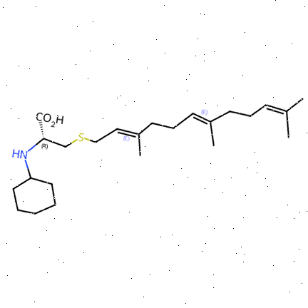 CC(C)=CCC/C(C)=C/CC/C(C)=C/CSC[C@H](NC1CCCCC1)C(=O)O